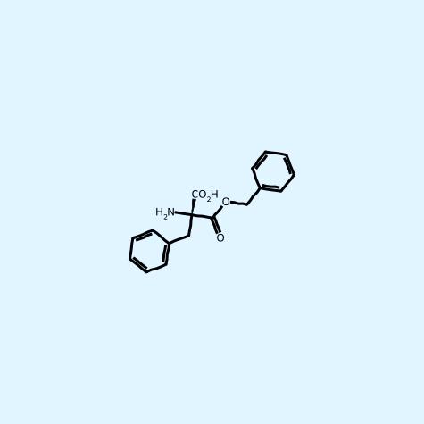 N[C@](Cc1ccccc1)(C(=O)O)C(=O)OCc1ccccc1